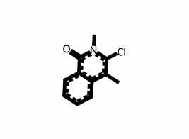 Cc1c(Cl)n(C)c(=O)c2ccccc12